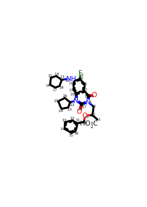 O=C(O)CC(Cn1c(=O)c2cc(F)c(NC3CCCCC3)cc2n(C2CCCC2)c1=O)OCc1ccccc1